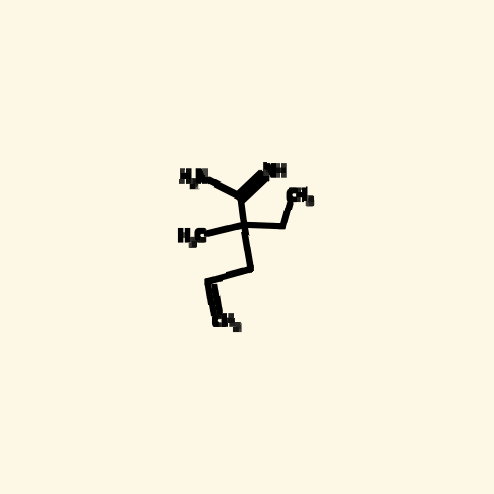 C=CCC(C)(CC)C(=N)N